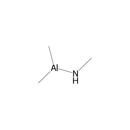 C[NH][Al]([CH3])[CH3]